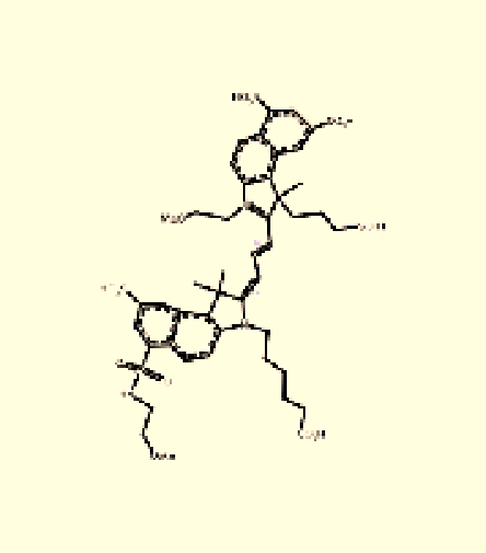 COCCNS(=O)(=O)c1cc(S(=O)(=O)O)cc2c3c(ccc12)N(CCCCCC(=O)O)/C(=C/C=C/C1=[N+](CCOC)c2ccc4c(S(=O)(=O)O)cc(S(=O)(=O)O)cc4c2C1(C)CCCS(=O)(=O)O)C3(C)C